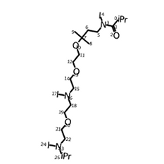 CC(C)C(=O)N(I)CCC(C)(C)OCCOCCN(I)CCOCCN(I)C(C)C